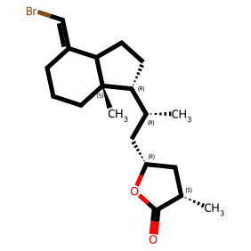 C[C@H](C[C@@H]1C[C@H](C)C(=O)O1)[C@H]1CCC2C(=CBr)CCC[C@]21C